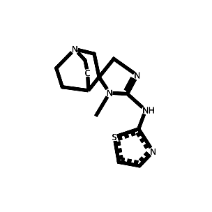 CN1C(Nc2nccs2)=NCC12CN1CCC2CC1